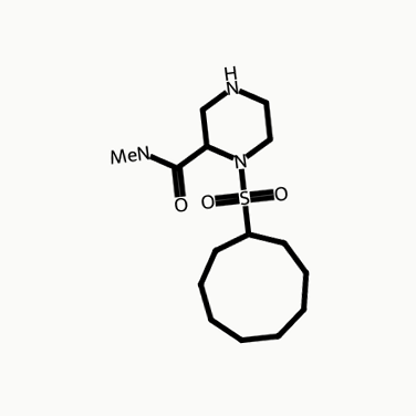 CNC(=O)C1CNCCN1S(=O)(=O)C1CCCCCCCC1